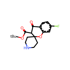 CC(C)(C)OC(=O)C1C(=O)c2ccc(F)cc2OC12CCNCC2